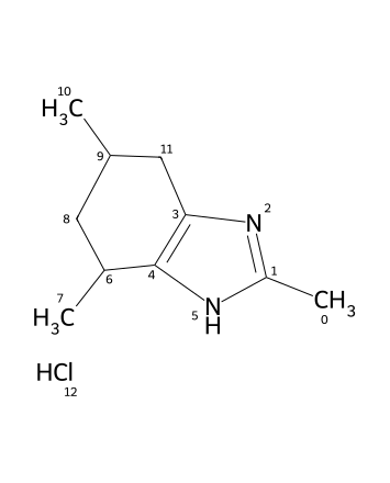 Cc1nc2c([nH]1)C(C)CC(C)C2.Cl